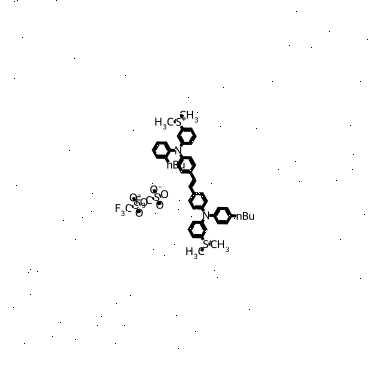 CCCCc1ccc(N(c2ccc(C=Cc3ccc(N(c4cccc([S+](C)C)c4)c4ccccc4CCCC)cc3)cc2)c2cccc([S+](C)C)c2)cc1.O=S(=O)([O-])C(F)(F)F.O=S(=O)([O-])C(F)(F)F